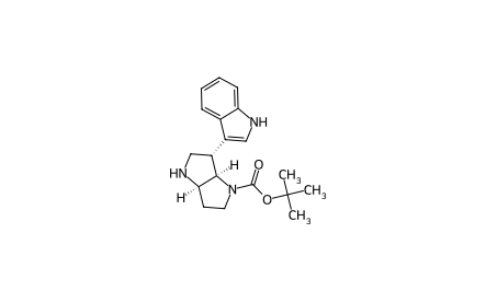 CC(C)(C)OC(=O)N1CC[C@H]2NC[C@H](c3c[nH]c4ccccc34)[C@H]21